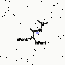 CCCCCC(CCCCC)/C(C)=N/N(C)C